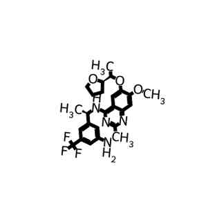 COc1cc2nc(C)nc(N[C@H](C)c3cc(N)cc(C(F)(F)F)c3)c2cc1OC(C)[C@H]1CCCO1